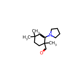 CC1(C)C=C(N2CCCC2)C(C)(C=O)CC1